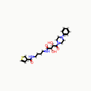 O=C(NCCCCNC(=O)[C@H](O)[C@@H](O)C(=O)N1CCN(c2ccccc2)CC1)C1C=CSC1